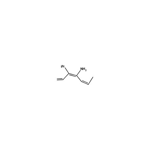 C=C/C(=C(N)\C=C/C)C(C)C